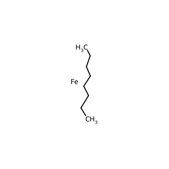 CCCCCCCC.[Fe]